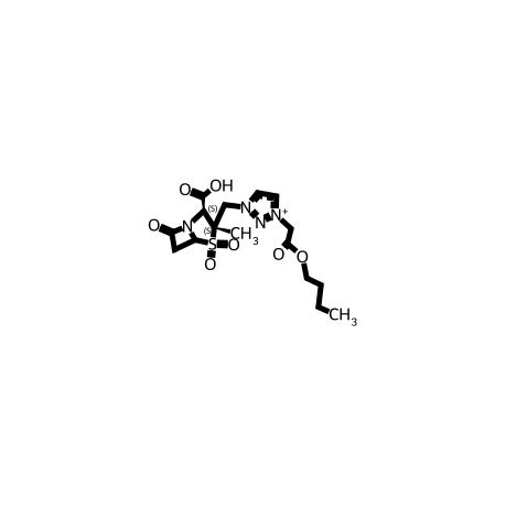 CCCCOC(=O)C[n+]1ccn(C[C@@]2(C)[C@H](C(=O)O)N3C(=O)CC3S2(=O)=O)n1